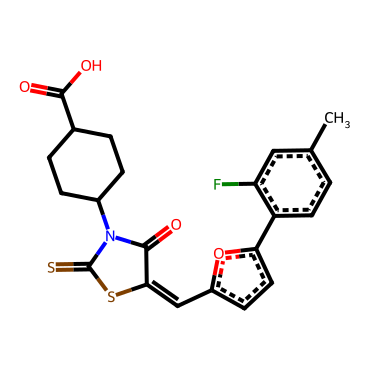 Cc1ccc(-c2ccc(C=C3SC(=S)N(C4CCC(C(=O)O)CC4)C3=O)o2)c(F)c1